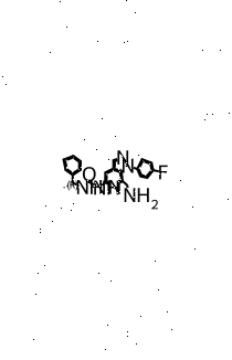 C[C@@H](NC(=O)Nc1cc2cnn(-c3ccc(F)cc3)c2c(CN)n1)c1ccccc1